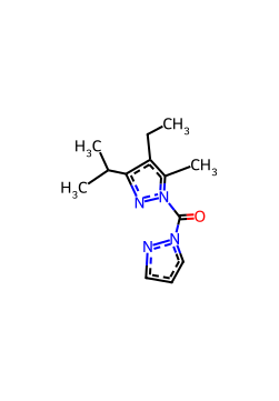 CCc1c(C(C)C)nn(C(=O)n2cccn2)c1C